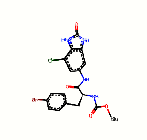 CC(C)(C)OC(=O)N[C@@H](Cc1ccc(Br)cc1)C(=O)Nc1cc(Cl)c2[nH]c(=O)[nH]c2c1